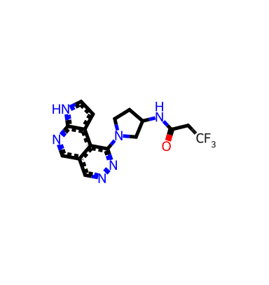 O=C(CC(F)(F)F)NC1CCN(c2nncc3cnc4[nH]ccc4c23)C1